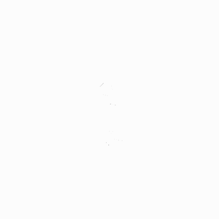 CCCc1ccc(C(=O)OC(C)CC(C)OC(=O)N(C(C)C)C(C)C)cc1